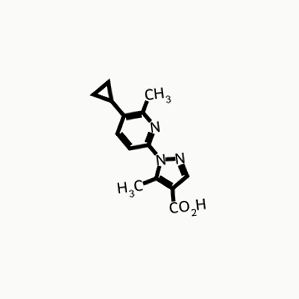 Cc1nc(-n2ncc(C(=O)O)c2C)ccc1C1CC1